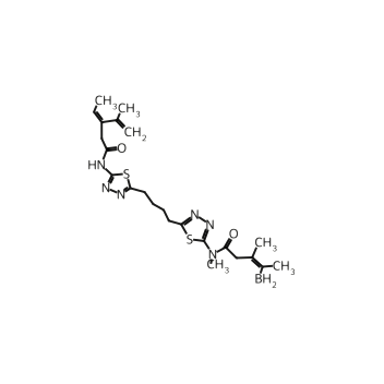 B/C(C)=C(/C)CC(=O)N(C)c1nnc(CCCCc2nnc(NC(=O)C/C(=C/C)C(=C)C)s2)s1